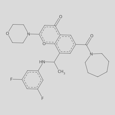 CC(Nc1cc(F)cc(F)c1)c1cc(C(=O)N2CCCCCC2)cc2c(=O)cc(N3CCOCC3)oc12